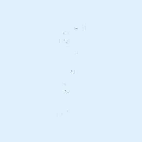 C[C@@H]1C[C@H]1NC1COC2(CCN(CC(=O)N3CC(C(=O)O)C3)CC2)C1